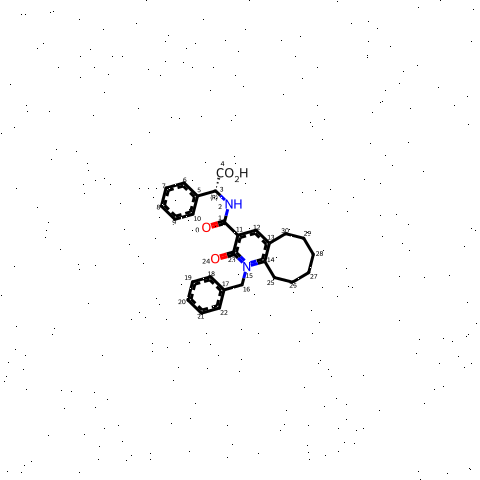 O=C(N[C@@H](C(=O)O)c1ccccc1)c1cc2c(n(Cc3ccccc3)c1=O)CCCCCC2